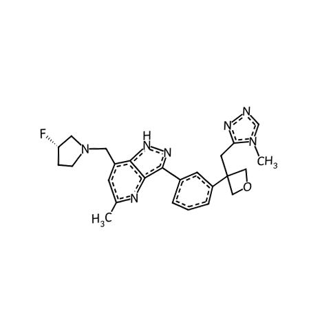 Cc1cc(CN2CC[C@H](F)C2)c2[nH]nc(-c3cccc(C4(Cc5nncn5C)COC4)c3)c2n1